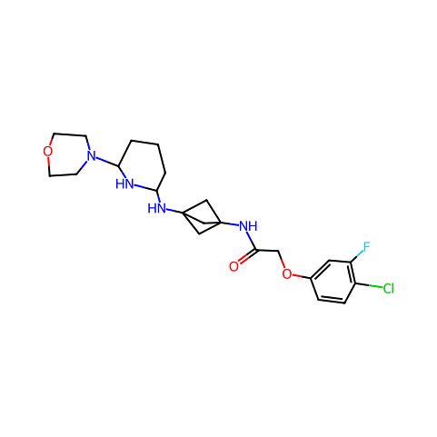 O=C(COc1ccc(Cl)c(F)c1)NC12CC(NC3CCCC(N4CCOCC4)N3)(C1)C2